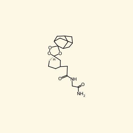 NC(=O)CNC(=O)CC1CCC[C@]2(C1)OOC1(O2)C2CC3CC(C2)CC1C3